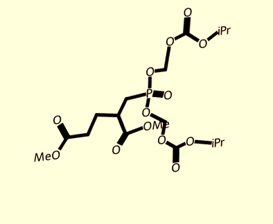 COC(=O)CCC(CP(=O)(OCOC(=O)OC(C)C)OCOC(=O)OC(C)C)C(=O)OC